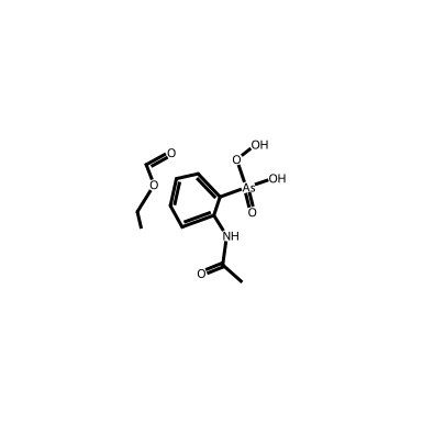 CC(=O)Nc1ccccc1[As](=O)(O)OO.CCOC=O